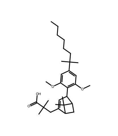 CCCCCCC(C)(C)c1cc(OC)c(C2C=C(CC(C)(C)C(=O)O)C3CC2C3(C)C)c(OC)c1